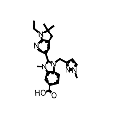 CCN1c2ncc(C3N(C)c4cc(C(=O)O)ccc4N3Cc3ccn(C)n3)cc2CC1(C)C